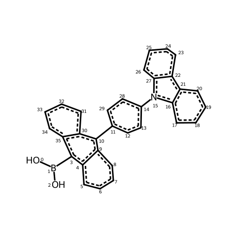 OB(O)c1c2ccccc2c(-c2ccc(-n3c4ccccc4c4ccccc43)cc2)c2ccccc12